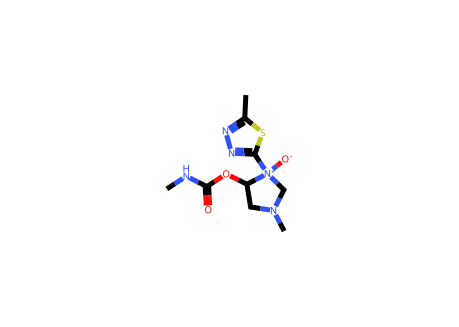 CNC(=O)OC1CN(C)C[N+]1([O-])c1nnc(C)s1